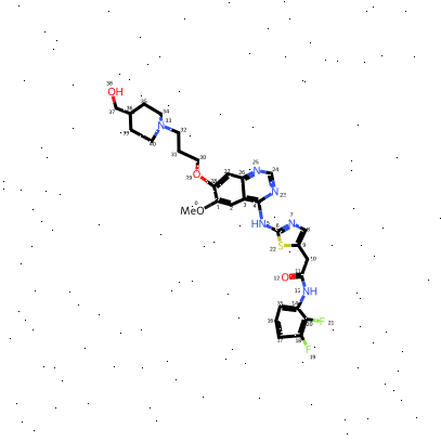 COc1cc2c(Nc3ncc(CC(=O)Nc4cccc(F)c4F)s3)ncnc2cc1OCCCN1CCC(CO)CC1